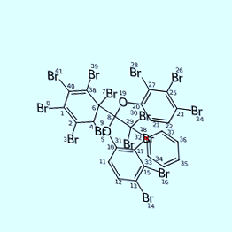 BrC1=C(Br)C(Br)C(Br)(C(Oc2ccc(Br)c(Br)c2Br)(Oc2ccc(Br)c(Br)c2Br)C(Br)(Br)c2ccccc2)C(Br)=C1Br